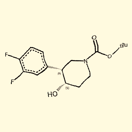 CC(C)(C)OC(=O)N1CC[C@H](O)[C@H](c2ccc(F)c(F)c2)C1